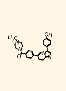 CN1CCN(C(=O)c2ccc(-c3ccc4ncc(C5=CC=C(O)CC5)n4c3)cc2)CC1